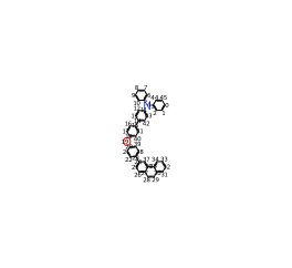 c1ccc(N(c2ccccc2)c2ccc(-c3ccc(Oc4ccc(-c5ccc6ccc7ccccc7c6c5)cc4)cc3)cc2)cc1